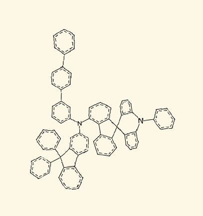 c1ccc(-c2ccc(-c3cccc(N(c4ccc5c(c4)C(c4ccccc4)(c4ccccc4)c4ccccc4-5)c4cccc5c4-c4ccccc4C54c5ccccc5N(c5ccccc5)c5ccccc54)c3)cc2)cc1